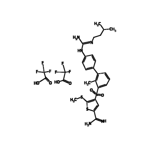 CSc1sc(C(=N)N)cc1S(=O)(=O)c1cccc(-c2ccc(NC(N)=NCCC(C)C)cc2)c1C.O=C(O)C(F)(F)F.O=C(O)C(F)(F)F